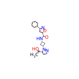 C[C@@H](O)c1ccnn1[C@H]1C[C@@H](NC(=O)c2cc(-c3ccccc3)no2)C1